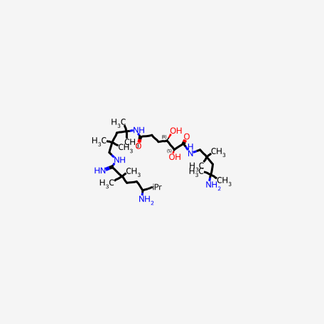 CC(C)C(N)CCC(C)(C)C(=N)NCC(C)(C)CC(C)(C)NC(=O)CC[C@@H](O)[C@H](O)C(=O)NCC(C)(C)CC(C)(C)N